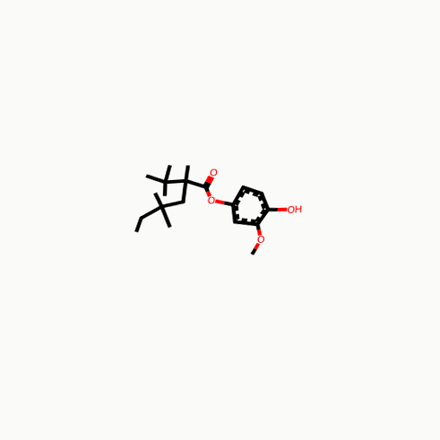 CCC(C)(C)CC(C)(C(=O)Oc1ccc(O)c(OC)c1)C(C)(C)C